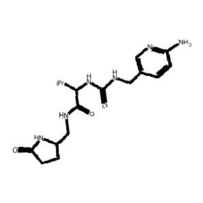 CC(C)C(NC(=O)NCc1ccc(N)nc1)C(=O)NCC1CCC(=O)N1